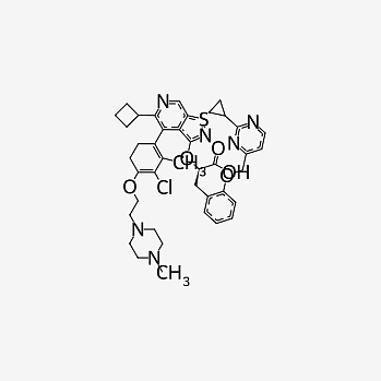 CC1=C(c2c(C3CCC3)ncc3snc(O[C@H](Cc4ccccc4OCc4ccnc(C5CC5)n4)C(=O)O)c23)CCC(OCCN2CCN(C)CC2)=C1Cl